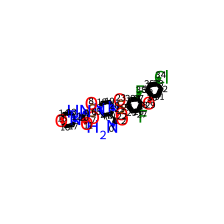 NC(=O)[C@H]1CN(S(=O)(=O)NC(=O)N2CCOCC2)CCN1S(=O)(=O)c1cc(F)c(Oc2ccc(Cl)cc2)c(F)c1